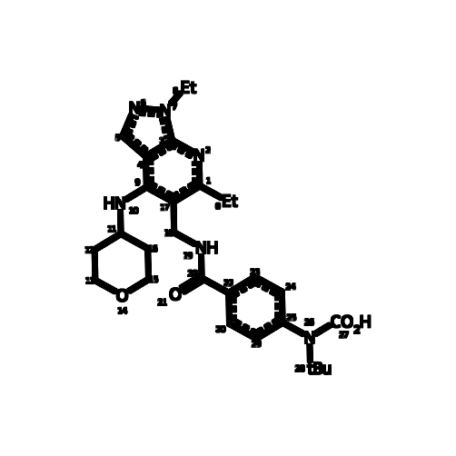 CCc1nc2c(cnn2CC)c(NC2CCOCC2)c1CNC(=O)c1ccc(N(C(=O)O)C(C)(C)C)cc1